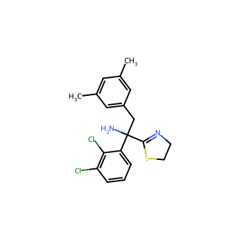 Cc1cc(C)cc(CC(N)(C2=NCCS2)c2cccc(Cl)c2Cl)c1